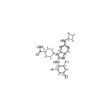 NC(=O)C1CCC(n2c(Nc3c(F)cc(Cl)cc3F)nc3cnc(NC4CCC4)nc32)CC1